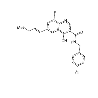 CSCC=Cc1cc(F)c2ncc(C(=O)NCc3ccc(Cl)cc3)c(O)c2c1